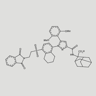 COc1cccc(OC)c1-c1cc(C(=O)NC2(C(=O)O)C3CC4CC(C3)CC2C4)nn1-c1ccc(S(=O)(=O)CCN2C(=O)c3ccccc3C2=O)c2c1CCCC2